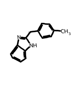 Cc1ccc([CH]c2nc3ccccc3[nH]2)cc1